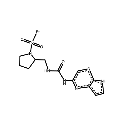 CCS(=O)(=O)N1CCCC1CNC(=O)Nc1cnc2[nH]ccc2n1